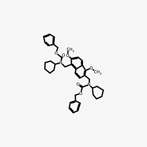 COc1ccc2c(OC)c(CN(C(=O)OCc3ccccc3)C3CCCCC3)ccc2c1CN(C(=O)OCc1ccccc1)C1CCCCC1